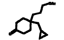 CC(=O)OCCCC1(CC2CC2)CCC(=O)CC1